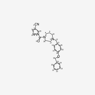 N#Cc1cnn(C(=O)N2CCCN(Cc3ccc(OCc4ccccc4)cc3)CC2)c1